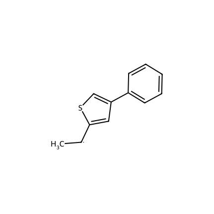 C[CH]c1cc(-c2ccccc2)cs1